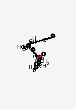 C[C@]12C=CC(=O)C=C1CC[C@@H]1[C@@H]2[C@@H](O)C[C@@]2(C)[C@H]1C[C@H]1O[C@@H](C3CCCCC3)O[C@]12C(=O)COC(=O)CCc1ccc[n+](Cc2cc(C(O)CNCCCCCCOCCCCc3ccccc3)ccc2OP(=O)(O)O)c1